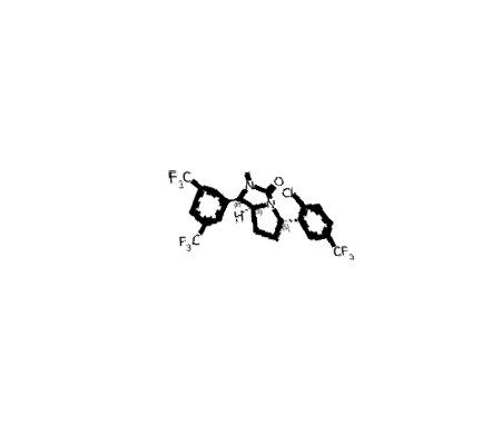 CN1C(=O)N2[C@H](c3cc(C(F)(F)F)ccc3Cl)CC[C@H]2[C@H]1c1cc(C(F)(F)F)cc(C(F)(F)F)c1